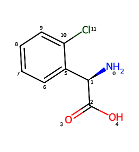 N[C@@H](C(=O)O)c1ccccc1Cl